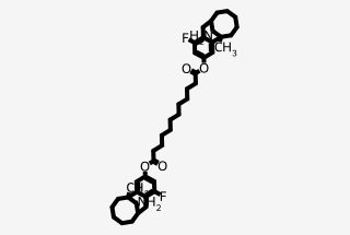 CC12CCCCCC(Cc3c(F)cc(OC(=O)CCCCCCCCCCC(=O)Oc4cc(F)c5c(c4)C4(C)CCCCCC(C5)C4N)cc31)C2N